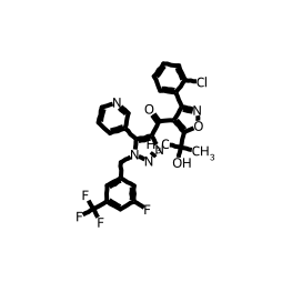 CC(C)(O)c1onc(-c2ccccc2Cl)c1C(=O)c1nnn(Cc2cc(F)cc(C(F)(F)F)c2)c1-c1cccnc1